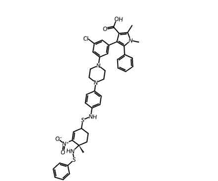 Cc1c(C(=O)O)c(-c2cc(Cl)cc(N3CCN(c4ccc(NSC5C=C([N+](=O)[O-])[C@@](C)(NSc6ccccc6)CC5)cc4)CC3)c2)c(-c2ccccc2)n1C